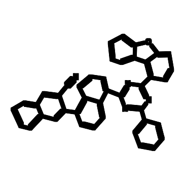 N#Cc1cc2ccccc2cc1-c1cccc2c(-c3nc(-c4ccccc4)nc(-c4cccc5oc6ccccc6c45)n3)cccc12